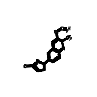 O=C(O)OC1=Cc2cc(-c3ccc(Cl)s3)ccc2OC1C(F)(F)F